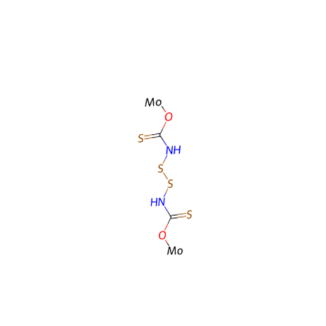 S=C(NSSNC(=S)[O][Mo])[O][Mo]